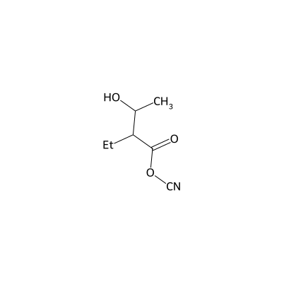 CCC(C(=O)OC#N)C(C)O